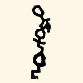 O=C1NC(C2CCCCC2)=NC12CCN(S(=O)(=O)CCc1ccc(CCO)cc1)CC2